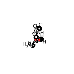 C=CC(=O)N1C[C@H]2C[C@@H](C1)C2Oc1cc2c(Nc3ccc(Cl)c(Cl)c3F)ncnc2cc1OCC1CCCN1C